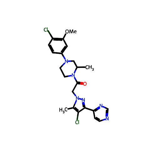 COc1cc(N2CCN(C(=O)Cn3nc(-c4ccncn4)c(Cl)c3C)C(C)C2)ccc1Cl